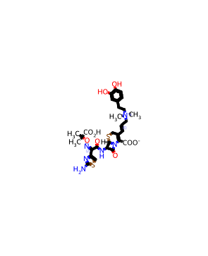 CC(C)(O/N=C(\C(=O)NC1C(=O)N2C(C(=O)[O-])=C(/C=C/C[N+](C)(C)CCc3ccc(O)c(O)c3)CS[C@H]12)c1csc(N)n1)C(=O)O